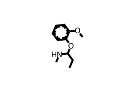 CCC(NC)Oc1ccccc1OC